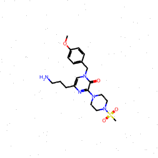 COc1ccc(Cn2cc(CCCN)nc(N3CCN(S(C)(=O)=O)CC3)c2=O)cc1